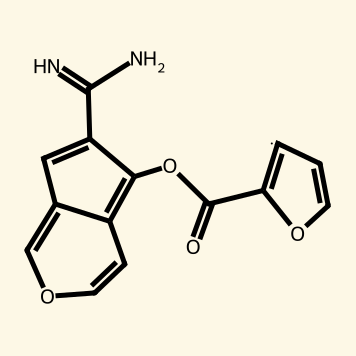 N=C(N)c1cc2coccc-2c1OC(=O)c1[c]cco1